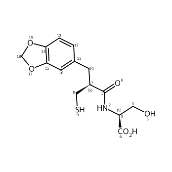 O=C(N[C@@H](CO)C(=O)O)[C@@H](CS)Cc1ccc2c(c1)OCO2